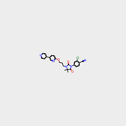 CC1(C)C(=O)N(c2ccc(C#N)c(Cl)c2)C(=O)N1CCCOc1ccc(-c2ccncc2)cn1